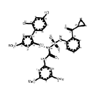 COc1cc(OC)nc(NC(=O)NS(=O)(=O)Nc2ccccc2C(=O)C2CC2)n1.O=C(O)c1nc(C(Cl)(Cl)Cl)n(-c2ccc(Cl)cc2Cl)n1